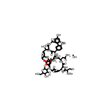 CNC(CC(C)C)C(=O)NC1C(=O)NC(CC(N)=O)C(=O)NC2C(=O)NC3C(=O)NC(C(=O)NC(C(=O)O)c4cc(O)cc(O)c4-c4cc3ccc4O)C(O)c3ccc(c(Cl)c3)Oc3cc2cc(c3OC2OC(CO)C(O)C(O)C2OC2CC(C)(N)C(O)C(C)O2)Oc2ccc(cc2Cl)C1O.CO